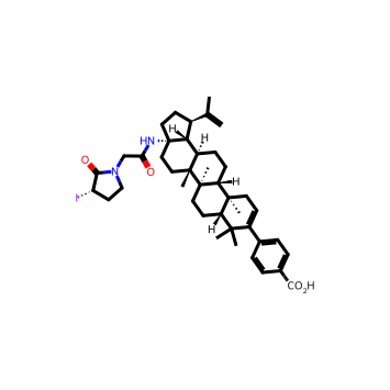 C=C(C)[C@@H]1CC[C@]2(NC(=O)CN3CC[C@H](I)C3=O)CC[C@]3(C)[C@H](CC[C@@H]4[C@@]5(C)CC=C(c6ccc(C(=O)O)cc6)C(C)(C)[C@@H]5CC[C@]43C)[C@@H]12